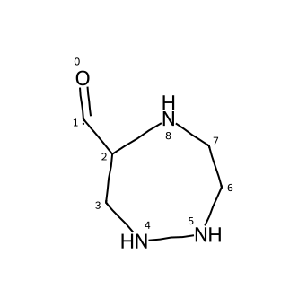 O=[C]C1CNNCCN1